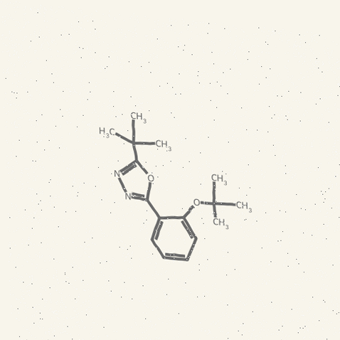 CC(C)(C)Oc1ccccc1-c1nnc(C(C)(C)C)o1